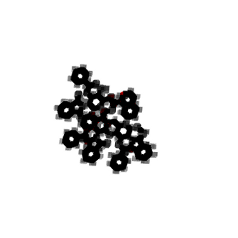 CO[C@H]1OC(COC(=O)c2ccccc2)[C@H](OC2OC(COC(=O)c3ccccc3)C(O[C@H]3OC(COC(=O)c4ccccc4)[C@H](O)C(OC(=O)c4ccccc4)[C@H]3N3C(=O)c4ccccc4C3=O)[C@@H](OC(=O)c3ccccc3)[C@@H]2N2C(=O)c3ccccc3C2=O)C(OC(=O)c2ccccc2)[C@H]1N1C(=O)c2ccccc2C1=O